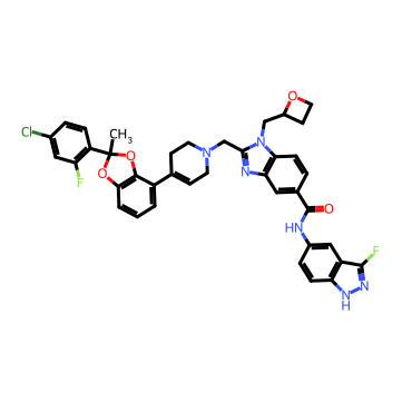 CC1(c2ccc(Cl)cc2F)Oc2cccc(C3=CCN(Cc4nc5cc(C(=O)Nc6ccc7[nH]nc(F)c7c6)ccc5n4CC4CCO4)CC3)c2O1